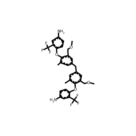 COCc1cc(Cc2cc(C)c(Oc3ccc(N)cc3C(F)(F)F)c(COC)c2)cc(C)c1Oc1ccc(N)cc1C(F)(F)F